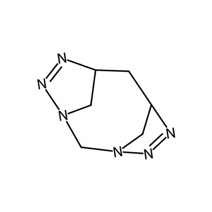 C1C2CN(CN3CC1N=N3)N=N2